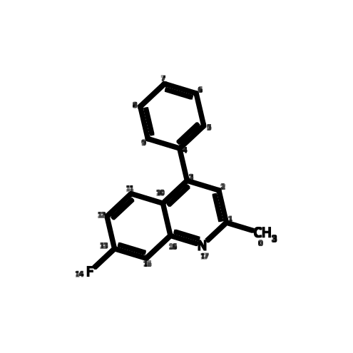 Cc1cc(-c2ccccc2)c2ccc(F)cc2n1